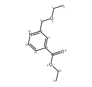 CCOCc1cc(C(=O)OCC)ccn1